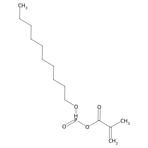 C=C(C)C(=O)O[PH](=O)OCCCCCCCCCC